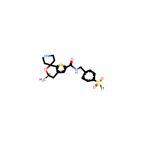 CCS(=O)(=O)c1ccc(CNC(=O)c2cc3c(s2)C2(CCNCC2)O[C@H](C)C3)cc1